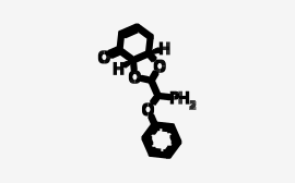 O=C1C=CC[C@@H]2OC(C(P)Oc3ccccc3)O[C@H]12